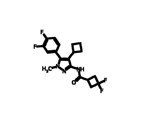 Cn1nc(NC(=O)C2CC(F)(F)C2)c(C2CCC2)c1-c1ccc(F)c(F)c1